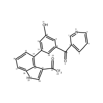 O=C(c1cccnc1)c1cc(O)cc(-c2cccc3[nH]cc(C(=O)C(F)(F)F)c23)c1